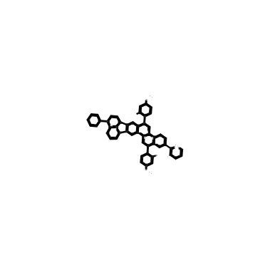 Cc1cc(C#N)ccc1-c1cc2c3cc4c(cc3c(-c3ccc(C#N)cc3C)cc2c2ccc(-c3ccccn3)cc12)-c1ccc(-c2ccccc2)c2cccc-4c12